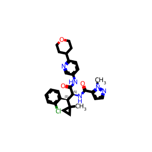 Cn1nccc1C(=O)N[C@H](C(=O)Nc1ccc(C2CCOCC2)nc1)[C@H](c1ccccc1Cl)C1(C)CC1